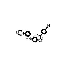 N#Cc1ccc(C(=O)Nc2cc(Nc3cccc(N4CCOCC4)c3)ccc2Cl)cc1